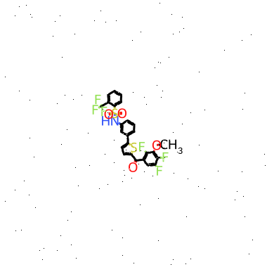 COc1c(F)c(F)cc(C(=O)c2ccc(-c3cccc(NS(=O)(=O)c4ccccc4C(F)(F)F)c3)s2)c1F